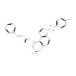 CC(=O)C1(C)CC(OC(=O)NCc2ccccc2)c2c(ccc3c2ccn3S(=O)(=O)c2ccc(C)cc2)N1